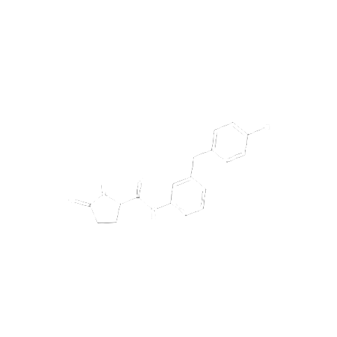 O=C1CCC(C(=O)Nc2cccc(Cc3ccc(Cl)cc3)c2)N1